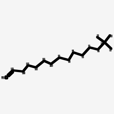 CC(C)(C)CCCCCCCCCCCC=O